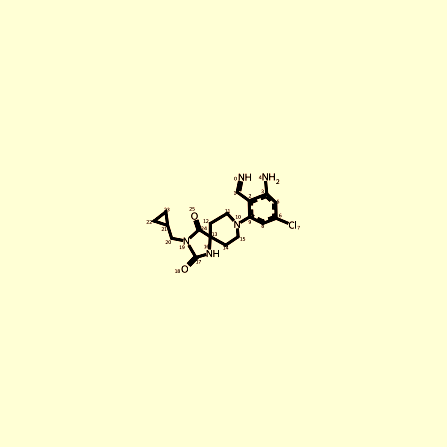 N=Cc1c(N)cc(Cl)cc1N1CCC2(CC1)NC(=O)N(CC1CC1)C2=O